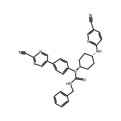 N#Cc1ccc(N[C@H]2CC[C@H](N(C(=O)NCc3ccccc3)c3ccc(-c4cnc(C#N)nc4)cc3)CC2)nc1